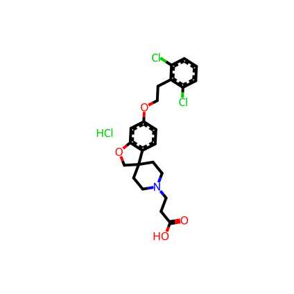 Cl.O=C(O)CCN1CCC2(CC1)COc1cc(OCCc3c(Cl)cccc3Cl)ccc12